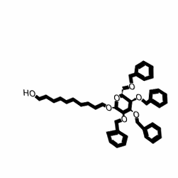 OCCCCCCCCCCO[C@@H]1O[C@H](COCc2ccccc2)[C@@H](OCc2ccccc2)[C@H](OCc2ccccc2)[C@H]1OCc1ccccc1